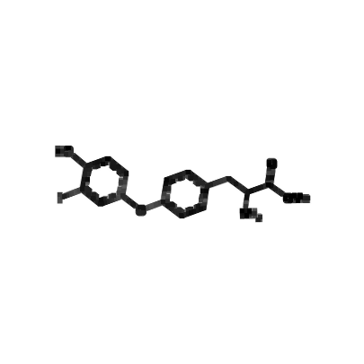 COC(=O)C(N)Cc1ccc(Oc2ccc(O)c(I)c2)cc1